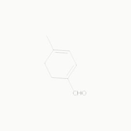 CC1=CC=C(C=O)CC1